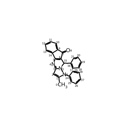 CC1=CC2=NC3=C(C(=O)c4ccccc43)C(c3ccccc3)N2N1c1ccccc1